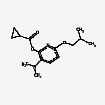 CC(C)COc1ccc(N(C)C)c(OC(=O)C2CC2)n1